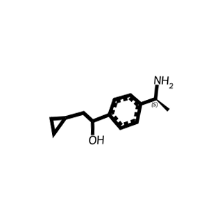 C[C@H](N)c1ccc(C(O)CC2CC2)cc1